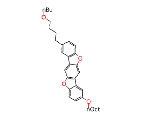 CCCCCCCCOc1ccc2oc3cc4c(cc3c2c1)oc1ccc(CCCCOCCCC)cc14